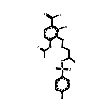 CC(=O)Nc1ccc(C(=O)O)c(O)c1CCCC(C)OS(=O)(=O)c1ccc(C)cc1